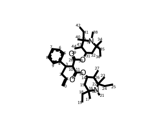 C=CCC(c1ccccc1)C(C(=O)OC1CC(C)(CC)N(C)C(C)(CC)C1C)C(=O)OC1CC(C)(CC)N(C)C(C)(CC)C1C